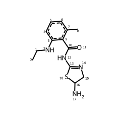 CCNc1cccc(C)c1C(=O)NC1=NCC(N)S1